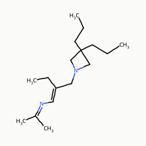 CCCC1(CCC)CN(C/C(=C/N=C(C)C)CC)C1